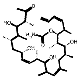 C=C/C=C\C(C)[C@H](OC(N)=O)[C@@H](C)[C@H](O)[C@@H](C)C/C(C)=C\C(C)C(O)[C@@H](C)/C=C\[C@@H](O)C[C@H](C)C(C)C(O)[C@@H](C)C(C)=O